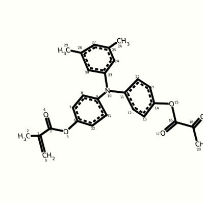 C=C(C)C(=O)Oc1ccc(N(c2ccc(OC(=O)C(=C)C)cc2)c2cc(C)cc(C)c2)cc1